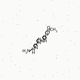 CC(=O)N1CCN(c2ccc(Nc3nccc(-c4ccc(NCCN)nc4)n3)cc2)CC1